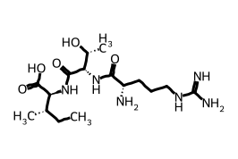 CC[C@H](C)[C@H](NC(=O)[C@@H](NC(=O)[C@@H](N)CCCNC(=N)N)[C@@H](C)O)C(=O)O